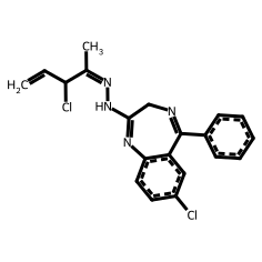 C=CC(Cl)C(C)=NNC1=Nc2ccc(Cl)cc2C(c2ccccc2)=NC1